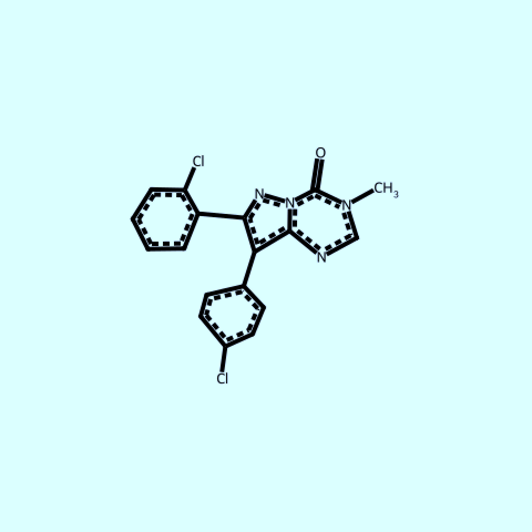 Cn1cnc2c(-c3ccc(Cl)cc3)c(-c3ccccc3Cl)nn2c1=O